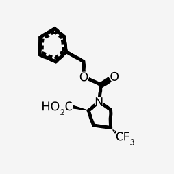 O=C(O)[C@@H]1C[C@@H](C(F)(F)F)CN1C(=O)OCc1ccccc1